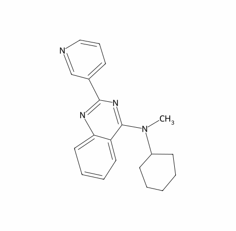 CN(c1nc(-c2cccnc2)nc2ccccc12)C1CCCCC1